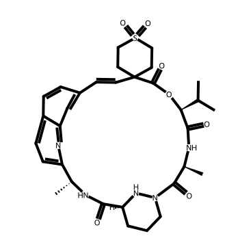 CC(C)[C@@H]1OC(=O)C2(/C=C/c3ccc4ccc(nc4c3)[C@@H](C)NC(=O)[C@@H]3CCCN(N3)C(=O)[C@H](C)NC1=O)CCS(=O)(=O)CC2